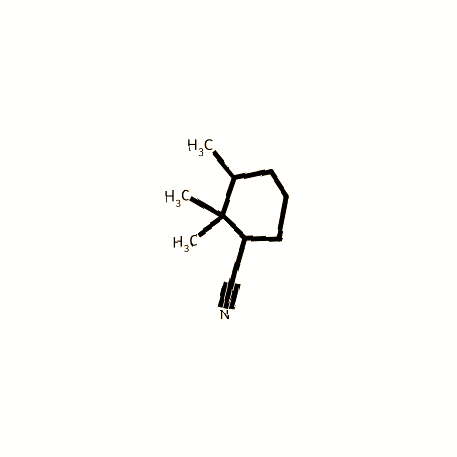 CC1CCCC(C#N)C1(C)C